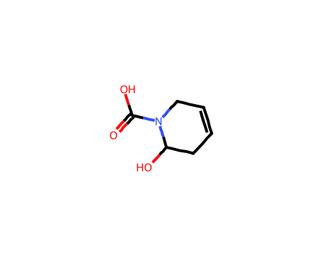 O=C(O)N1CC=CCC1O